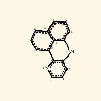 c1cnc2c(c1)Nc1cccc3cccc-2c13